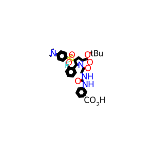 CN(C)c1ccc(S(=O)(=O)C2CC(C(=O)OC(C)(C)C)N(C(=O)CNC(=O)Nc3cccc(C(=O)O)c3)C2c2ccccc2F)cc1